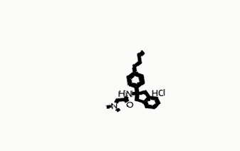 CCCCc1ccc(C2(NC(=O)CN(C)C)Cc3ccccc3C2)cc1.Cl